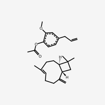 C=C1CC/C=C(\C)CC[C@@H]2[C@@H]1CC2(C)C.C=CCc1ccc(OC(C)=O)c(OC)c1